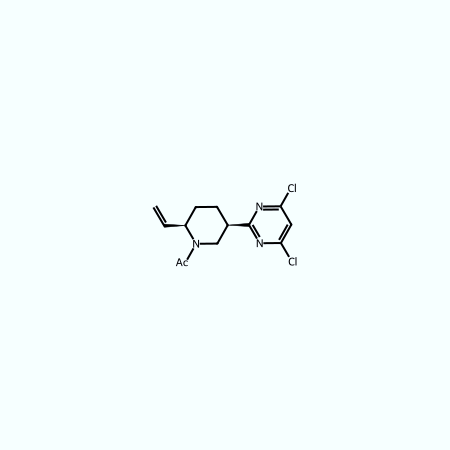 C=C[C@H]1CC[C@@H](c2nc(Cl)cc(Cl)n2)CN1C(C)=O